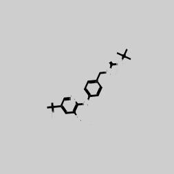 CC(C)(C)OC(=O)NCc1ccc(Nc2ncc(C(F)(F)F)cc2N)cc1